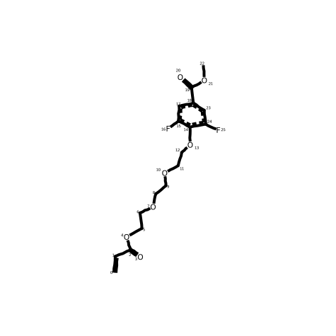 C=CC(=O)OCCOCCOCCOc1c(F)cc(C(=O)OC)cc1F